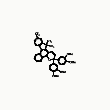 COc1ccc(C2(c3ccc(OC)c(OC)c3)C=Cc3c4c(c5ccccc5c3O2)-c2ccc(C(F)(F)F)cc2C4(C)C)cc1OC